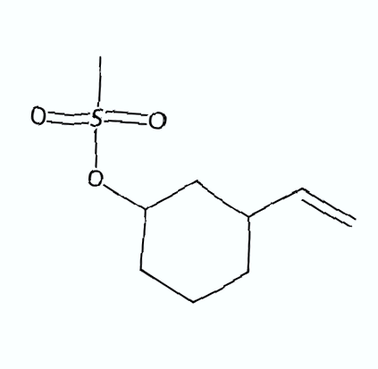 C=CC1CCCC(OS(C)(=O)=O)C1